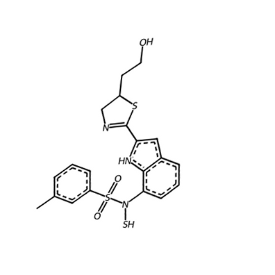 Cc1cccc(S(=O)(=O)N(S)c2cccc3cc(C4=NCC(CCO)S4)[nH]c23)c1